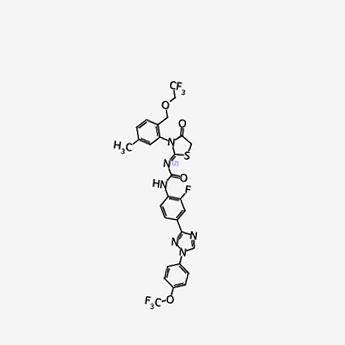 Cc1ccc(COCC(F)(F)F)c(N2C(=O)CS/C2=N\C(=O)Nc2ccc(-c3ncn(-c4ccc(OC(F)(F)F)cc4)n3)cc2F)c1